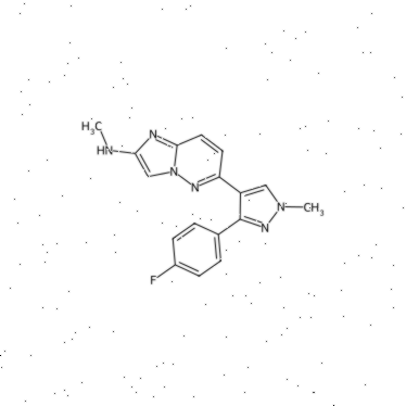 CNc1cn2nc(-c3cn(C)nc3-c3ccc(F)cc3)ccc2n1